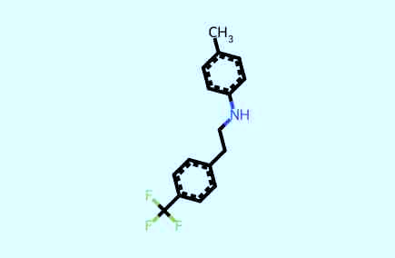 Cc1ccc(NCCc2ccc(C(F)(F)F)cc2)cc1